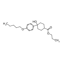 CCCCCOc1ccc(C2(O)CCC(C(=O)OCCC)CC2)cc1